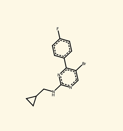 Fc1ccc(-c2nc(NCC3CC3)ncc2Br)cc1